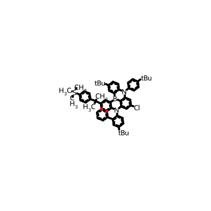 CC(C)(C)c1ccc(N2c3ccc(C(C)(C)C)cc3B3c4cc(C(C)(C)c5ccc(S(C)(C)C)cc5)ccc4N(c4ccc(C(C)(C)C)cc4-c4ccccc4)c4cc(Cl)cc2c43)cc1